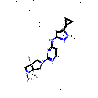 O=C(O)N1C[C@H]2CN(c3nccc(Nc4cc(C5CC5)[nH]n4)n3)C[C@H]21